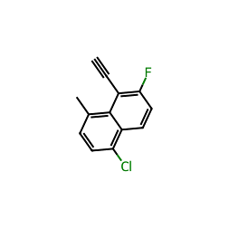 C#Cc1c(F)ccc2c(Cl)ccc(C)c12